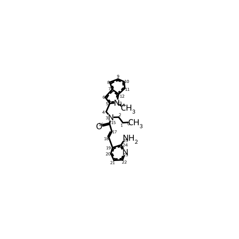 CCCN(Cc1cc2ccccc2n1C)C(=O)C=Cc1cccnc1N